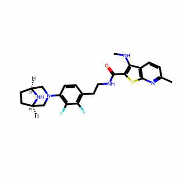 CNc1c(C(=O)NCCc2ccc(N3C[C@H]4CC[C@@H](C3)N4)c(F)c2F)sc2nc(C)ccc12